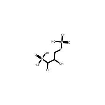 O=P(O)(O)OCC(O)C(O)P(=O)(O)O